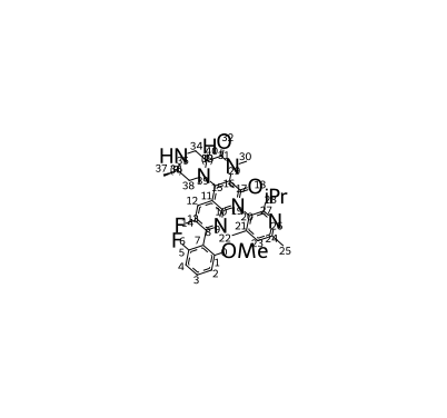 COc1cccc(F)c1-c1nc2c(cc1F)c1c(c(=O)n2-c2c(C)cc(C)nc2C(C)C)N(C)C(=O)[C@H]2CN[C@H](C)CN12